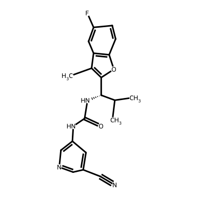 Cc1c([C@@H](NC(=O)Nc2cncc(C#N)c2)C(C)C)oc2ccc(F)cc12